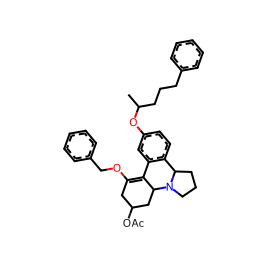 CC(=O)OC1CC(OCc2ccccc2)=C2c3cc(OC(C)CCCc4ccccc4)ccc3C3CCCN3C2C1